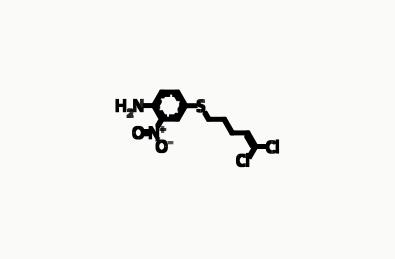 Nc1ccc(SCCCC=C(Cl)Cl)cc1[N+](=O)[O-]